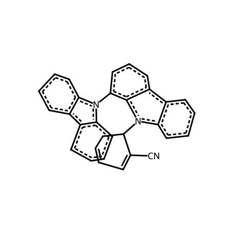 N#CC1=CC=CCC1n1c2ccccc2c2cccc(-n3c4ccccc4c4ccccc43)c21